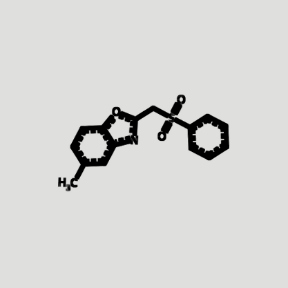 Cc1ccc2oc(CS(=O)(=O)c3ccccc3)nc2c1